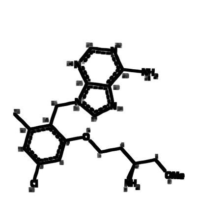 COC[C@@H](N)CCOc1cc(Cl)cc(C)c1Cn1cnc2c(N)ncnc21